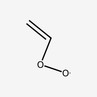 C=CO[O]